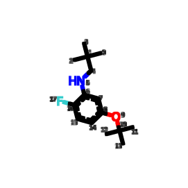 CC(C)(C)CNc1cc(OC(C)(C)C)ccc1F